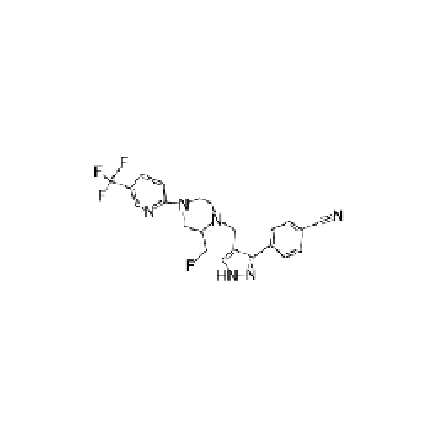 N#Cc1ccc(-c2n[nH]cc2CN2CCN(c3ccc(C(F)(F)F)cn3)CC2CF)cc1